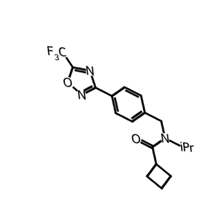 CC(C)N(Cc1ccc(-c2noc(C(F)(F)F)n2)cc1)C(=O)C1CCC1